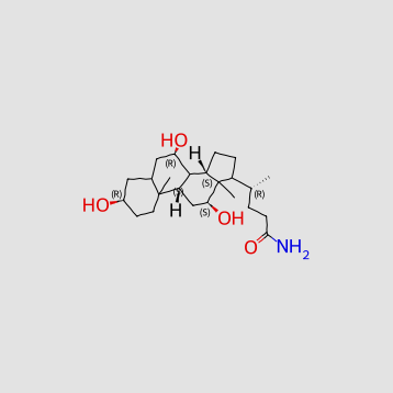 C[C@H](CCC(N)=O)C1CC[C@H]2C3[C@H](O)CC4C[C@H](O)CCC4(C)[C@H]3C[C@H](O)C12C